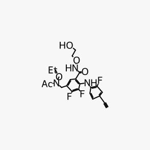 C#Cc1ccc(Nc2c(C(=O)NOCCO)cc(CN(OCC)C(C)=O)c(F)c2F)c(F)c1